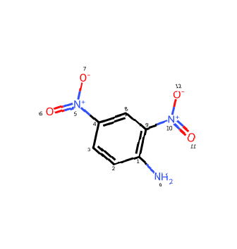 Nc1ccc([N+](=O)[O-])[c]c1[N+](=O)[O-]